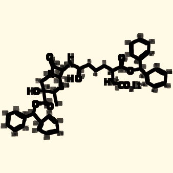 CCOC(=O)NC(CCCC(=O)NC1C(=O)N2CC(O)(C(=O)OC(c3ccccc3)c3ccccc3)C(C)S[C@H]12)C(=O)OC(c1ccccc1)c1ccccc1